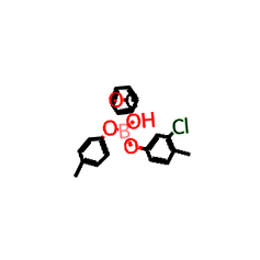 Cc1ccc(OB(O)Oc2ccc(C)c(Cl)c2)cc1.c1cc2ccc1CO2